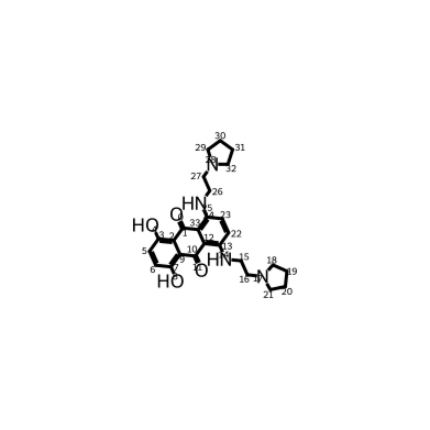 O=C1c2c(O)ccc(O)c2C(=O)c2c(NCCN3CCCC3)ccc(NCCN3CCCC3)c21